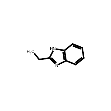 CCc1nc2[c]cccc2[nH]1